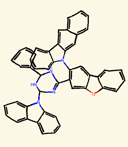 c1ccc(C2NC(c3cc4oc5ccccc5c4cc3-n3c4ccccc4c4cc5ccccc5cc43)=NC(n3c4ccccc4c4ccccc43)N2)cc1